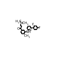 Cc1ccc(C(=O)C=CN(C)C)cc1Nc1cccc(-c2ccc(F)cc2F)n1